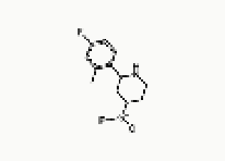 Cc1cc(F)ccc1C1CC([S+]([O-])C(C)C)CCN1